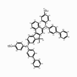 CC(C)(C)c1ccc(N(c2ccc(-c3ccccc3)cc2)c2ccc3c(c2)C(C)(C)c2cc(N(c4ccc(-c5ccccc5)cc4)c4ccc(C(C)(C)C)cc4)c4ccccc4c2-3)cc1